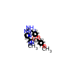 COc1ccc(COc2ccc(Cn3c(N)nc4ccc(-c5cnn(C)c5)nc43)cc2OC)cc1